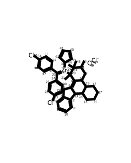 CC1CC2C(=C3Cc4ccccc4C3C3CCCCC23)[C](C)([Zr+2](=[C](c2ccc(Cl)cc2)c2ccc(Cl)cc2)[CH]2C=CC=C2)C1(C)C.[Cl-].[Cl-]